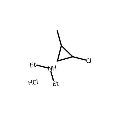 CC1CC1Cl.CCNCC.Cl